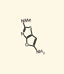 CNc1nc2oc(N)cc2s1